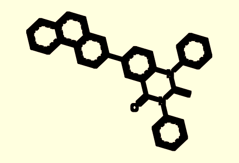 C=C1N(c2ccccc2)C(=O)c2cc(-c3ccc4c(ccc5ccccc54)c3)ccc2N1c1ccccc1